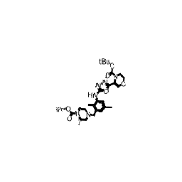 Cc1cc(CN2CCN(C(=O)OC(C)C)[C@@H](C)C2)c(C)c(Nc2nnc(C3COCCN3C(=O)OC(C)(C)C)o2)c1